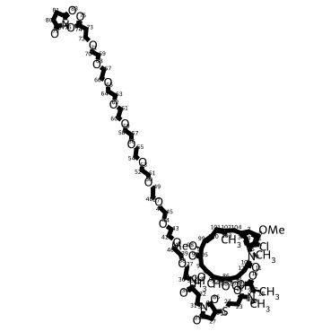 COc1cc2cc(c1Cl)N(C)C(=O)C[C@H](OC(=O)[C@@H](C)N(C)C(=O)CCSC1CC(=O)N(CCC(=O)NCCOCCOCCOCCOCCOCCOCCOCCOCCOCCOCCOCCOCCC(=O)ON3C(=O)CCC3=O)C1=O)[C@]1(C)O[C@H]1[C@H](C)[C@@H](OC(C)=O)CC(=O)[C@H](OC)/C=C/C=C(\C)C2